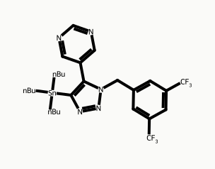 CCC[CH2][Sn]([CH2]CCC)([CH2]CCC)[c]1nnn(Cc2cc(C(F)(F)F)cc(C(F)(F)F)c2)c1-c1cncnc1